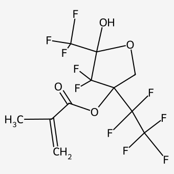 C=C(C)C(=O)OC1(C(F)(F)C(F)(F)F)COC(O)(C(F)(F)F)C1(F)F